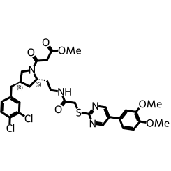 COC(=O)CC(=O)N1C[C@H](Cc2ccc(Cl)c(Cl)c2)C[C@H]1CCNC(=O)CSc1ncc(-c2ccc(OC)c(OC)c2)cn1